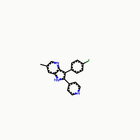 Cc1cnc2c(-c3ccc(F)cc3)c(-c3ccncc3)[nH]c2c1